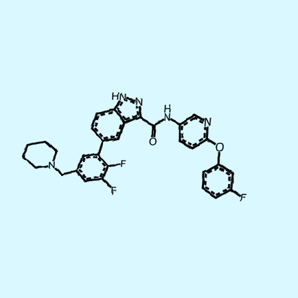 O=C(Nc1ccc(Oc2cccc(F)c2)nc1)c1n[nH]c2ccc(-c3cc(CN4CCCCC4)cc(F)c3F)cc12